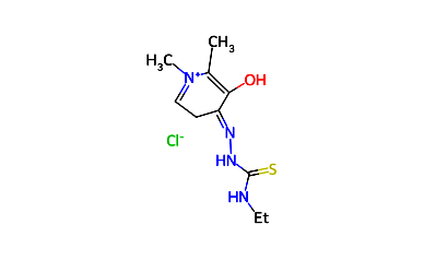 CCNC(=S)NN=C1CC=[N+](C)C(C)=C1O.[Cl-]